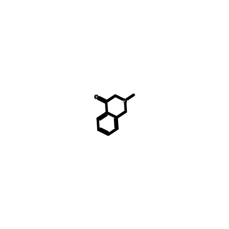 CN1CC(=O)c2ccccc2C1